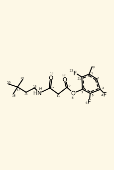 Cc1cc(F)c(F)c(OC(=O)CC(=O)NCCC(C)(C)C)c1F